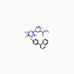 CC(C)CN(CC(O)C(N)=O)C(=O)N[C@@H](Cc1ccc(-c2cccc3ccccc23)cc1)C(N)=O